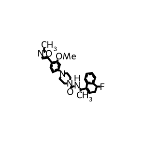 COc1cc(N2CCN(C(=O)NC(C)C3=CCC(F)c4ccccc43)CC2)ccc1-c1cnc(C)o1